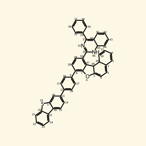 C1=CC2=CC=C3Oc4c(-c5ccc(-c6ccc7c(c6)sc6ccccc67)cc5)ccc(C5=NC(c6ccccc6)=C6C=CC=CC6N5)c4C3C2C=C1